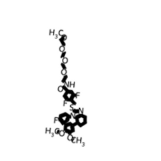 COCCOCCOCCOCCNC(=O)c1cc(F)c(CSc2nc3c(n2-c2ccc(F)cc2)C(c2ccc(OC)c(OC)c2)CCC3)c(F)c1